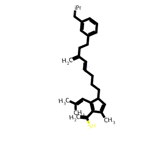 C=C(/C=C/CCCC1C=C(C)C(C(=C)S)=C1C=C(C)C)CCc1cccc(CC(C)C)c1